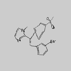 Cn1ccnc1/C(=C/c1cccc(Br)c1)c1ccc(S(C)(=O)=O)cc1